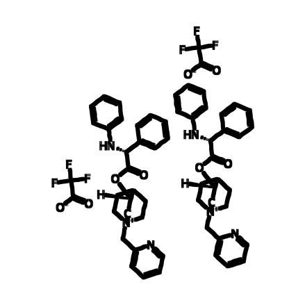 O=C(O[C@H]1C[N+]2(Cc3ccccn3)CCC1CC2)[C@H](Nc1ccccc1)c1ccccc1.O=C(O[C@H]1C[N+]2(Cc3ccccn3)CCC1CC2)[C@H](Nc1ccccc1)c1ccccc1.O=C([O-])C(F)(F)F.O=C([O-])C(F)(F)F